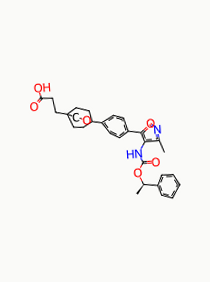 Cc1noc(-c2ccc(C34CCC(CCC(=O)O)(CC3)CO4)cc2)c1NC(=O)O[C@H](C)c1ccccc1